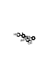 Cc1cc(Nc2ncc(Cl)c(Nc3ccccc3S(=O)(=O)O)n2)c(OC(C)C)cc1C1CCNCC1